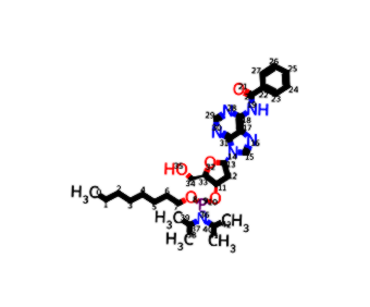 CCCCCCCCOP(O[C@@H]1C[C@H](n2cnc3c(NC(=O)c4ccccc4)ncnc32)O[C@@H]1CO)N(C(C)C)C(C)C